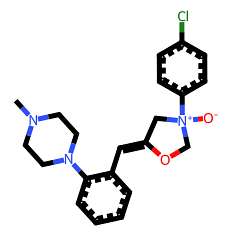 CN1CCN(c2ccccc2C=C2C[N+]([O-])(c3ccc(Cl)cc3)CO2)CC1